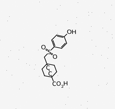 O=C(O)C12CCC(CS(=O)(=O)c3ccc(O)cc3)(CC1)CC2